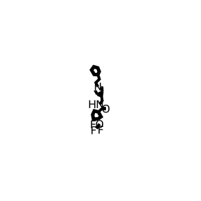 O=C(NCC1C2CN(CCc3ccccc3)CC12)c1cccc(OC(F)(F)F)c1